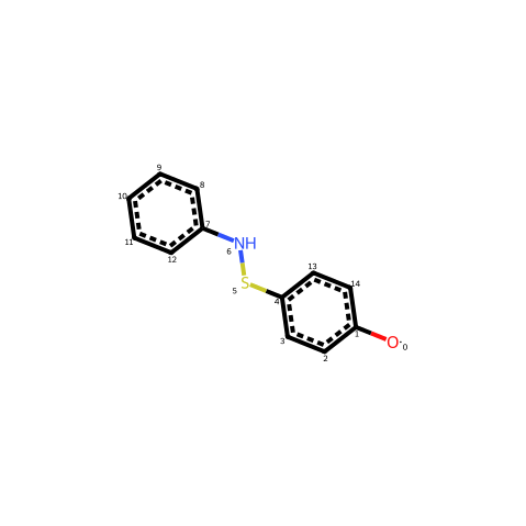 [O]c1ccc(SNc2ccccc2)cc1